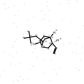 C=C[C@H]1CN2CC[C@H]1C[C@H]2CC(C)(C)C